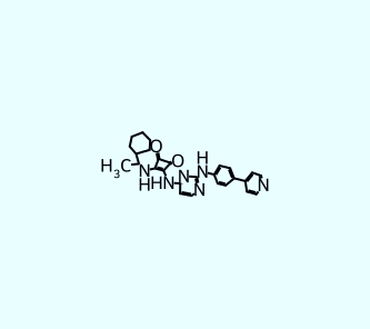 CC(Nc1c(Nc2ccnc(Nc3ccc(-c4ccncc4)cc3)n2)c(=O)c1=O)C1CCCCC1